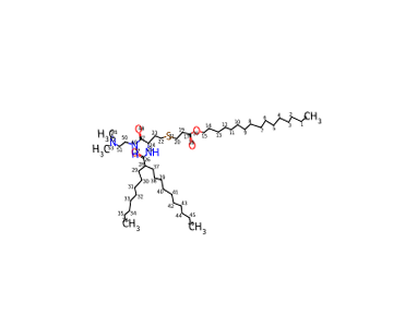 CCCCCCCCCCCCCCCCOC(=O)CCSCCC(NC(=O)C(CCCCCCCC)CCCCCCCCCC)C(=O)NCCN(C)C